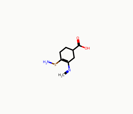 C=NC1=C(SN)CCC(C(=O)O)C1